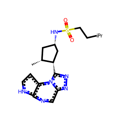 CC(C)CCS(=O)(=O)N[C@H]1C[C@@H](C)[C@@H](c2nnc3cnc4[nH]ccc4n23)C1